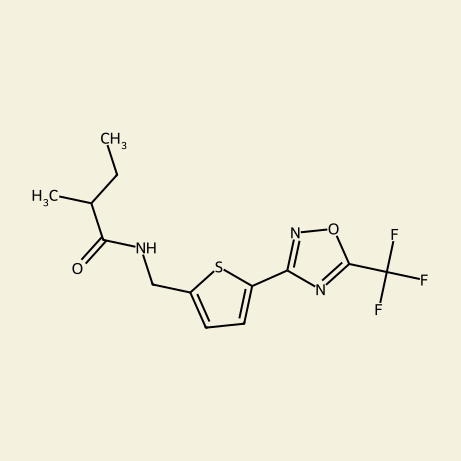 CCC(C)C(=O)NCc1ccc(-c2noc(C(F)(F)F)n2)s1